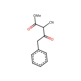 COC(=O)C(C#N)C(=O)Cc1ccccc1